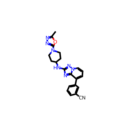 Cc1nnc(N2CCC(Nc3nc4c(-c5cccc(C#N)c5)cccn4n3)CC2)o1